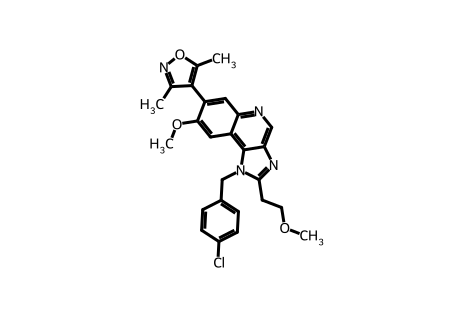 COCCc1nc2cnc3cc(-c4c(C)noc4C)c(OC)cc3c2n1Cc1ccc(Cl)cc1